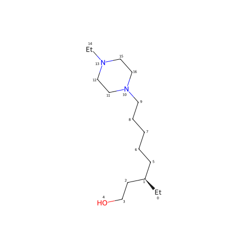 CC[C@@H](CCO)CCCCCN1CCN(CC)CC1